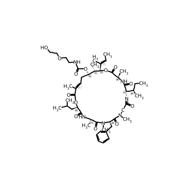 C/C=C(\C)[C@H]1OC(=O)[C@@H](C)NC(=O)[C@H]([C@H](C)CC)NC(=O)CN(C)C(=O)[C@@H](Cc2ccccc2)N(C)C(=O)[C@H](C)NC(=O)[C@@H](CC(C)C)OC(=O)/C(C)=C/C[C@H](OC(=O)NCCOCCO)[C@@H]1C